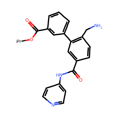 CC(C)OC(=O)c1cccc(-c2cc(C(=O)Nc3ccncc3)ccc2CN)c1